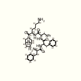 CC(C)CC(NC(=O)C(Cc1ccccc1)NC(=O)C(N)Cc1ccccc1)C(=O)NC(CCCCN)C(=O)N1CC2CCC(C1)N2